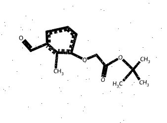 Cc1c(C=O)cccc1OCC(=O)OC(C)(C)C